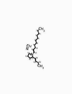 C#N.CCCCCCCCCCCN1CCCC1CCCC